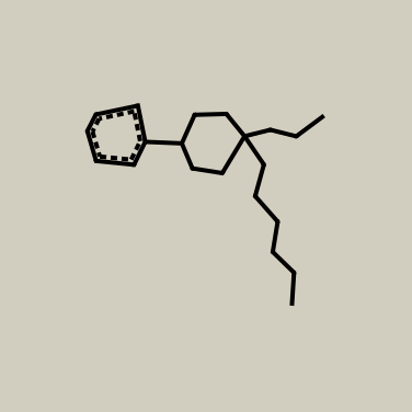 CCCCCCC1(CCC)CCC(c2ccccc2)CC1